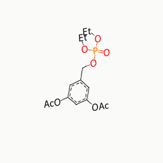 CCOP(=O)(OCC)OCc1cc(OC(C)=O)cc(OC(C)=O)c1